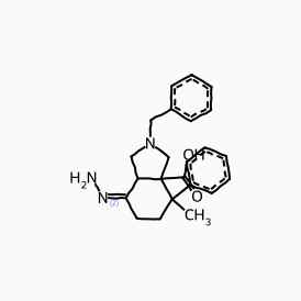 CC1(c2ccccc2)CC/C(=N/N)C2CN(Cc3ccccc3)CC21C(=O)O